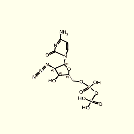 [N-]=[N+]=N[C@@H]1[C@H](O)[C@@H](COP(=O)(O)OP(=O)(O)O)O[C@H]1n1ccc(N)nc1=O